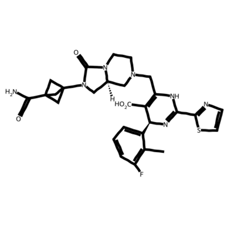 Cc1c(F)cccc1[C@@H]1N=C(c2nccs2)NC(CN2CCN3C(=O)N(C45CC(C(N)=O)(C4)C5)C[C@@H]3C2)=C1C(=O)O